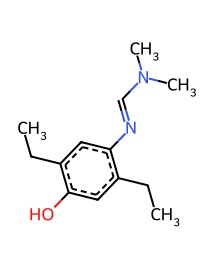 CCc1cc(/N=C/N(C)C)c(CC)cc1O